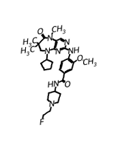 COc1cc(C(=O)NC2CCN(CCF)CC2)ccc1Nc1ncc2c(n1)N(C1CCCC1)CC(C)(C)C(=O)N2C